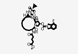 COC(=O)CCCC(=O)N[C@H]1CCCCC/C=C\[C@@H]2C[C@@]2(C(=O)NS(=O)(=O)C2CC2)NC(=O)[C@@H]2C[C@@H](OC(=O)N3Cc4cccc(F)c4C3)CN2C1=O